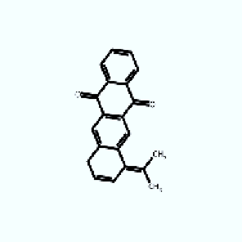 CC(C)=C1C=CCc2cc3c(cc21)C(=O)c1ccccc1C3=O